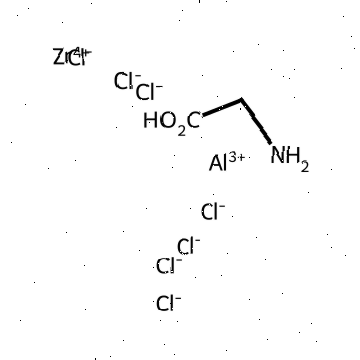 NCC(=O)O.[Al+3].[Cl-].[Cl-].[Cl-].[Cl-].[Cl-].[Cl-].[Cl-].[Zr+4]